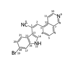 N#CC(=Cc1cccc2cnccc12)c1c[nH]c2cc(Br)ccc12